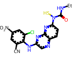 CCNC(=O)N(S)c1ccc2ncc(Nc3c(Cl)cc([N+](=O)[O-])cc3C#N)nc2n1